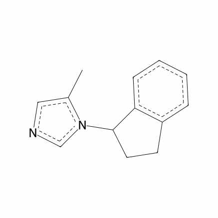 Cc1cncn1C1CCc2ccccc21